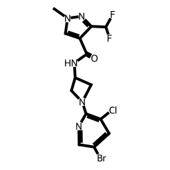 Cn1cc(C(=O)NC2CN(c3ncc(Br)cc3Cl)C2)c(C(F)F)n1